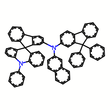 c1ccc(N2c3ccccc3C3(c4ccccc4-c4ccc(N(c5ccc6c(c5)C(c5ccccc5)(c5ccccc5)c5ccccc5-6)c5ccc6ccccc6c5)cc43)c3ccccc32)cc1